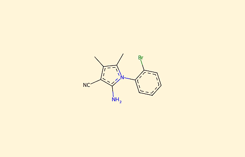 Cc1c(C#N)c(N)n(-c2ccccc2Br)c1C